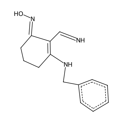 N=CC1=C(NCc2ccccc2)CCC/C1=N\O